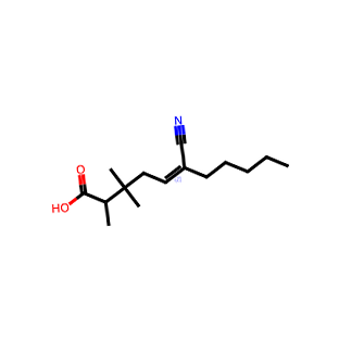 CCCCC/C(C#N)=C/CC(C)(C)C(C)C(=O)O